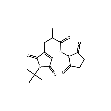 CC(CC1=CC(=O)N(C(C)(C)C)C1=O)C(=O)ON1C(=O)CCC1=O